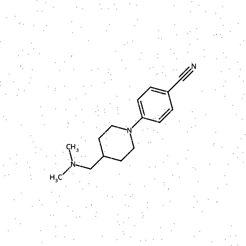 CN(C)CC1CCN(c2ccc(C#N)cc2)CC1